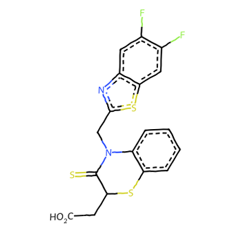 O=C(O)CC1Sc2ccccc2N(Cc2nc3cc(F)c(F)cc3s2)C1=S